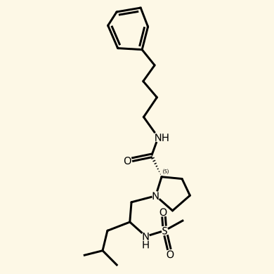 CC(C)CC(CN1CCC[C@H]1C(=O)NCCCCc1ccccc1)NS(C)(=O)=O